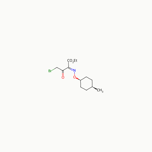 CCOC(=O)C(=NO[C@H]1CC[C@@H](C)CC1)C(=O)CBr